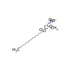 CCCCCCCCCCCCCCCC(=O)Oc1ccc(/C=C/[N+](=O)[O-])c(OC)c1